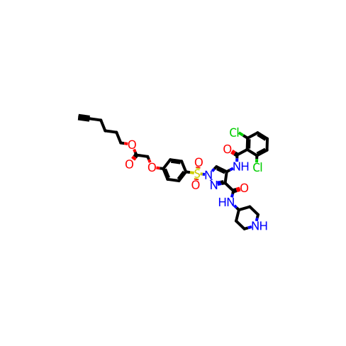 C#CCCCCOC(=O)COc1ccc(S(=O)(=O)n2cc(NC(=O)c3c(Cl)cccc3Cl)c(C(=O)NC3CCNCC3)n2)cc1